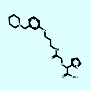 COC(=O)C(SCC(=O)NCCCOc1cccc(CN2CCCCC2)c1)c1ccco1